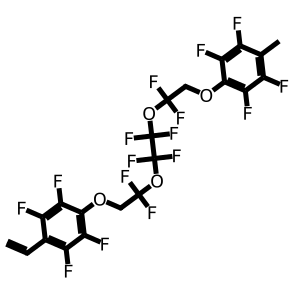 C=Cc1c(F)c(F)c(OCC(F)(F)OC(F)(F)C(F)(F)OC(F)(F)COc2c(F)c(F)c(C)c(F)c2F)c(F)c1F